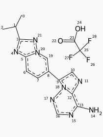 CC(C)c1nc2ccc(-c3cnc4c(N)ncnn34)cn2n1.O=C(O)C(F)(F)F